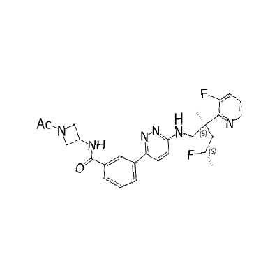 CC(=O)N1CC(NC(=O)c2cccc(-c3ccc(NC[C@](C)(C[C@H](C)F)c4ncccc4F)nn3)c2)C1